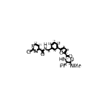 CNC(=O)[C@@H](NC(=O)c1ccc(-c2cccc(CNC(=O)c3ccnc(Cl)n3)c2)o1)C(C)C